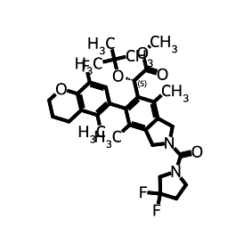 COC(=O)[C@@H](OC(C)(C)C)c1c(C)c2c(c(C)c1-c1cc(F)c3c(c1C)CCCO3)CN(C(=O)N1CCC(F)(F)C1)C2